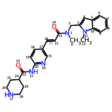 CN(Cc1cc2ccccc2n1C)C(=O)/C=C/c1ccc(NC(=O)C2CCNCC2)nc1